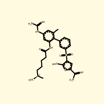 CSc1sc(C(=N)N)cc1S(=O)(=O)c1cccc(-c2c(C)cc(NC(=N)N)cc2NC(=O)CCCC[C@@H](C)C=O)c1